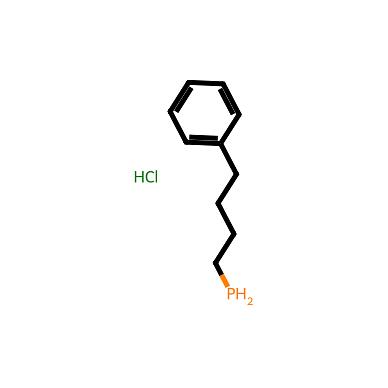 Cl.PCCCCc1ccccc1